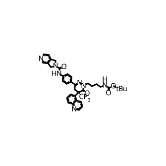 CC(C)(C)OC(=O)NCCCCN1N=C(c2ccc(NC(=O)N3Cc4ccncc4C3)cc2)C[C@](c2cccc3ncccc23)(C(F)(F)F)C1=O